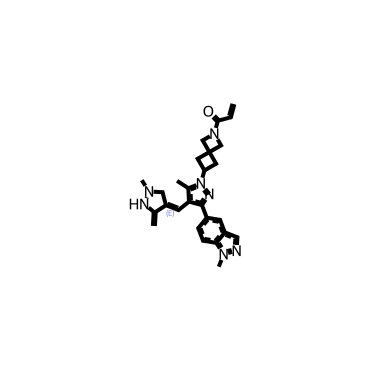 C=CC(=O)N1CC2(CC(n3nc(-c4ccc5c(cnn5C)c4)c(/C=C4\CN(C)NC4=C)c3C)C2)C1